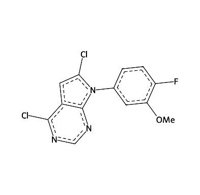 COc1cc(-n2c(Cl)cc3c(Cl)ncnc32)ccc1F